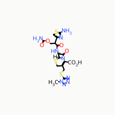 Cn1nnnc1SCC1=C(C(=O)O)N2C(=O)[C@@H](NC(=O)C(COC(N)=O)c3csc(N)n3)[C@@H]2SC1